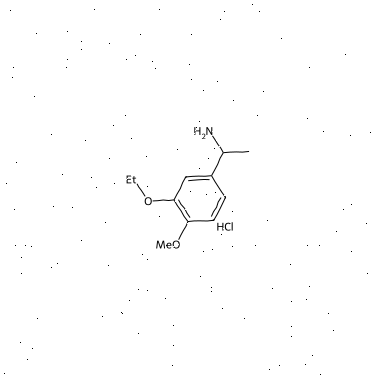 CCOc1cc(C(C)N)ccc1OC.Cl